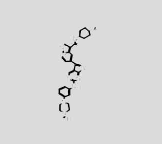 CO[C@H]1CC[C@H](NC(=O)c2cnn3ccc(-c4c[nH]c5nc(Nc6cccc(N7CCN(C)CC7)c6)ncc45)cc23)CC1